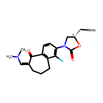 CC(=O)NC[C@H]1CN(c2ccc3c(c2F)CCCC(=CN(C)C)C3=O)C(=O)O1